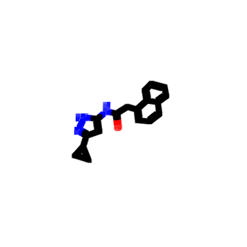 O=C(Cc1cccc2ccccc12)Nc1cc(C2CC2)n[nH]1